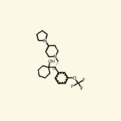 OC1([C@H](CN2CCC(N3CCCC3)CC2)c2cccc(OC(F)(F)F)c2)CCCCC1